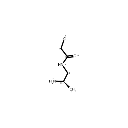 C[C@@H](N)CNC(=O)CCl